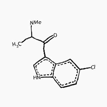 CNC(C)C(=O)c1c[nH]c2ccc(Cl)cc12